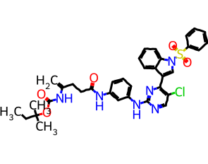 C=C(CCC(=O)Nc1cccc(Nc2ncc(Cl)c(-c3cn(S(=O)(=O)c4ccccc4)c4ccccc34)n2)c1)NC(=O)OC(C)(C)CC